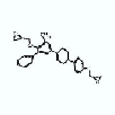 Cc1cc(C2=CCC(c3ccc(OCC4CO4)cc3)CC2)cc(-c2ccccc2)c1OCC1CO1